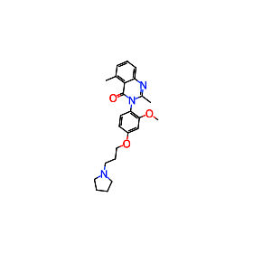 COc1cc(OCCCN2CCCC2)ccc1-n1c(C)nc2cccc(C)c2c1=O